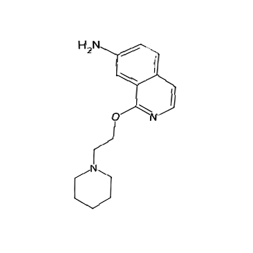 Nc1ccc2ccnc(OCCN3CCCCC3)c2c1